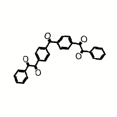 O=C(C(=O)c1ccc(C(=O)c2ccc(C(=O)C(=O)c3ccccc3)cc2)cc1)c1ccccc1